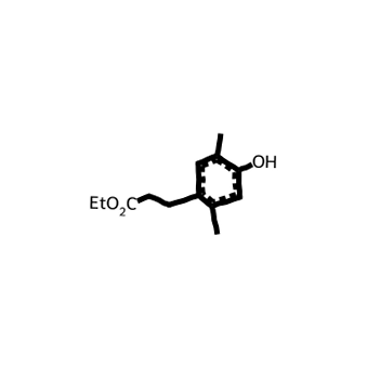 CCOC(=O)CCc1cc(C)c(O)cc1C